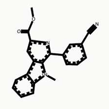 COC(=O)c1cc2c3ccccc3n(C)c2c(-c2cccc(C#N)c2)n1